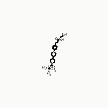 CC(C)(C)OC(=O)N1CCC(C2CCN(c3ccc(CCC(=O)NCCO)cc3)CC2)CC1